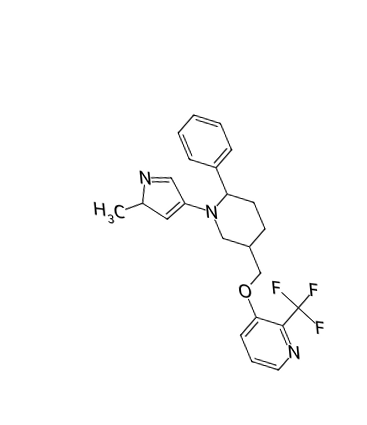 CC1C=C(N2CC(COc3cccnc3C(F)(F)F)CCC2c2ccccc2)C=N1